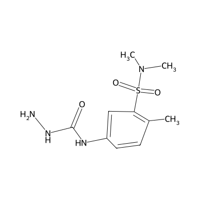 Cc1ccc(NC(=O)NN)cc1S(=O)(=O)N(C)C